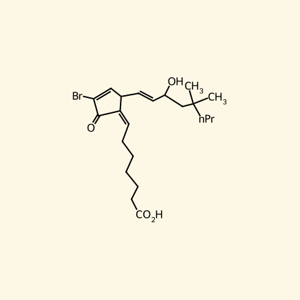 CCCC(C)(C)CC(O)C=CC1C=C(Br)C(=O)C1=CCCCCCC(=O)O